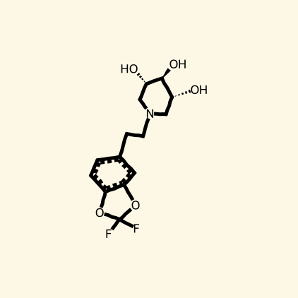 O[C@H]1[C@H](O)CN(CCc2ccc3c(c2)OC(F)(F)O3)C[C@@H]1O